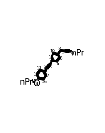 CCCC#CCc1ccc(C#Cc2ccc(OCCC)cc2)cc1